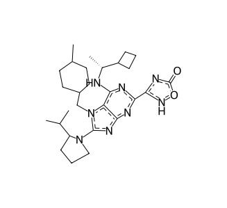 CC1CCC(Cn2c(N3CCCC3C(C)C)nc3nc(-c4nc(=O)o[nH]4)nc(N[C@H](C)C4CCC4)c32)CC1